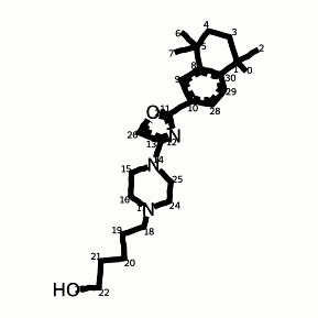 CC1(C)CCC(C)(C)c2cc(-c3nc(N4CCN(CCCCCO)CC4)co3)ccc21